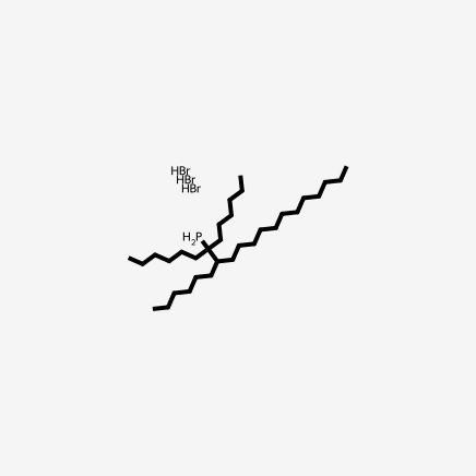 Br.Br.Br.CCCCCCCCCCCCC(CCCCCC)C(P)(CCCCCC)CCCCCC